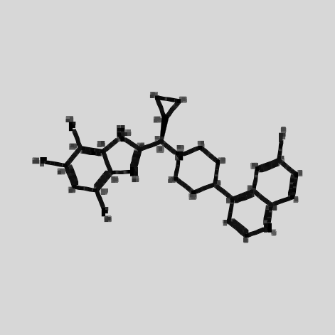 Fc1ccc2nccc(C3CCN([C@@H](c4nc5c(F)cc(F)c(F)c5[nH]4)C4CC4)CC3)c2c1